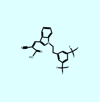 N#CC(=Cc1cn(CCc2cc(C(F)(F)F)cc(C(F)(F)F)c2)c2ccccc12)C(=O)O